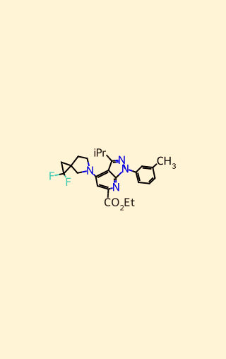 CCOC(=O)c1cc(N2CCC3(C2)CC3(F)F)c2c(C(C)C)nn(-c3cccc(C)c3)c2n1